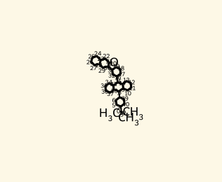 CC(C)(C)c1ccc(-c2c3ccccc3c(-c3ccc4oc5cc6ccccc6cc5c4c3)c3ccccc23)cc1